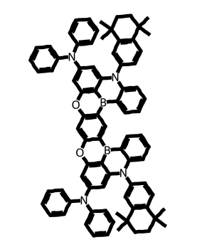 CC1(C)CCC(C)(C)c2cc(N3c4ccccc4B4c5cc6c(cc5Oc5cc(N(c7ccccc7)c7ccccc7)cc3c54)Oc3cc(N(c4ccccc4)c4ccccc4)cc4c3B6c3ccccc3N4c3ccc4c(c3)C(C)(C)CCC4(C)C)ccc21